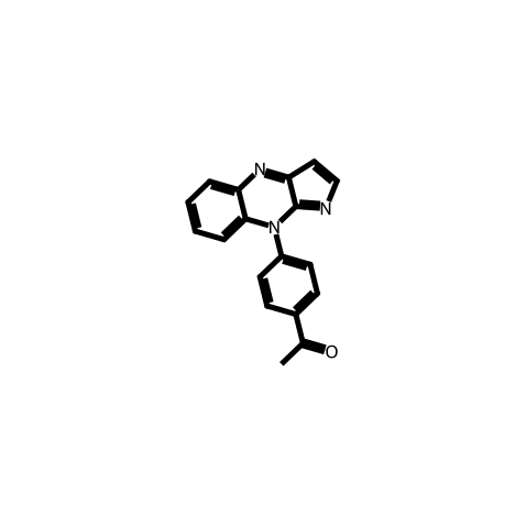 CC(=O)c1ccc(-n2c3nccc-3nc3ccccc32)cc1